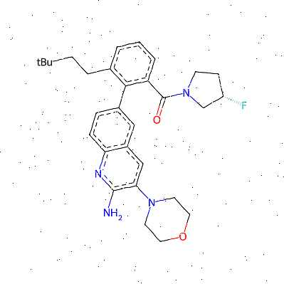 CC(C)(C)CCc1cccc(C(=O)N2CC[C@H](F)C2)c1-c1ccc2nc(N)c(N3CCOCC3)cc2c1